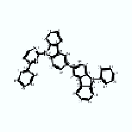 C1=Cc2c(n(-c3nccc(-c4ccccc4)n3)c3ccc(-c4ccc5c(c4)c4ccccc4n5-c4ccccc4)cc23)CC1